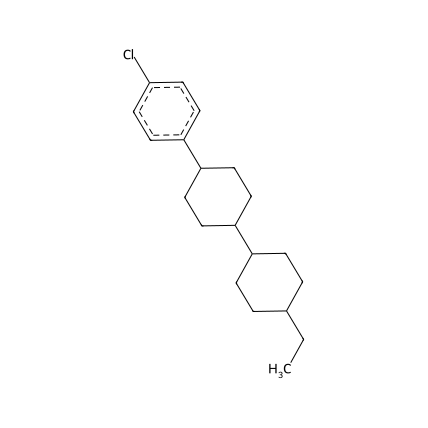 CCC1CCC(C2CCC(c3ccc(Cl)cc3)CC2)CC1